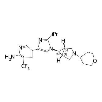 CC(C)c1nc(-c2cnc(N)c(C(F)(F)F)c2)cn1[C@H]1[C@@H]2CN(C3CCOCC3)C[C@@H]21